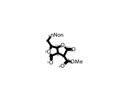 CCCCCCCCCCC1OC(=O)C2C(C(=O)OC)C(=O)OC12